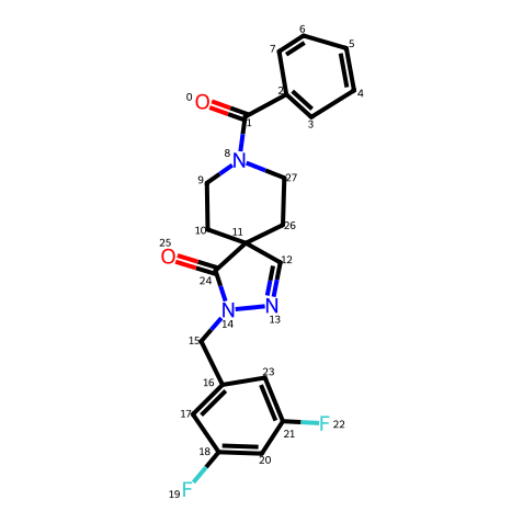 O=C(c1ccccc1)N1CCC2(C=NN(Cc3cc(F)cc(F)c3)C2=O)CC1